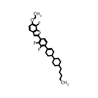 CCCCCC1CCC(C2CC=C(c3ccc(-c4cc5ccc(OCC)c(F)c5s4)c(F)c3F)CC2)CC1